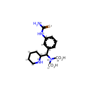 NC(=S)Nc1cccc(C(C2CCCCN2)N(C(=O)O)C(=O)O)c1